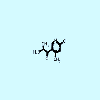 BC(C)C(=O)c1cnc(Cl)cc1C